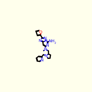 CN(CC1CCCN1Cc1ccccn1)c1cc2nc(-c3ccco3)nn2c(N)n1